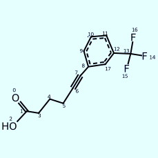 O=C(O)CCCC#Cc1c[c]cc(C(F)(F)F)c1